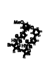 COc1cccc(-c2ccc(S(=O)(=O)Nc3onc(C)c3Br)s2)c1.COc1cccc(-c2ccc(S(=O)(=O)Nc3onc(C)c3Br)s2)c1